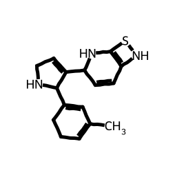 CC1=CCCC(C2NCC=C2C2C=Cc3[nH]sc3N2)=C1